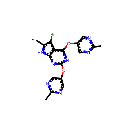 CCc1[nH]c2nc(Oc3cnc(C)nc3)nc(Oc3cnc(C)nc3)c2c1Br